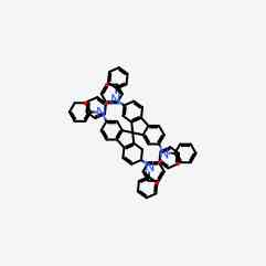 C1=CCCC(N(c2ccccc2)c2ccc3c(c2)C2(C4=C3C=CC(N(c3ccccc3)c3ccccc3)C4)c3cc(N(c4ccccc4)c4ccccc4)ccc3-c3ccc(N(c4ccccc4)c4ccccc4)cc32)=C1